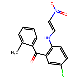 Cc1ccccc1C(=O)c1cc(Cl)ccc1NC=C[N+](=O)[O-]